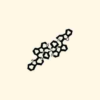 c1ccc([Si](c2ccccc2)(c2nccc3c2oc2c(-c4nccc5c4oc4ccccc45)cccc23)c2nccc3c2sc2c(-c4nccc5c4sc4ccccc45)cccc23)cc1